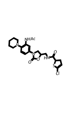 CC(=O)Nc1cc(N2CC(CNC(=O)C3CC=C(Cl)S3)OC2=O)ccc1N1CCCCC1